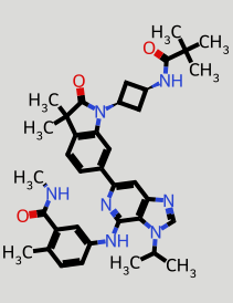 CNC(=O)c1cc(Nc2nc(-c3ccc4c(c3)N([C@H]3C[C@@H](NC(=O)C(C)(C)C)C3)C(=O)C4(C)C)cc3ncn(C(C)C)c23)ccc1C